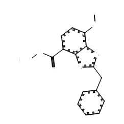 COC(=O)c1ccc(OC)c2nc(Cc3ccccc3)[nH]c12